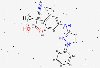 Cc1cc(Nc2ccn(-c3ccccc3)n2)ccc1C(C)(C#N)C(=O)O